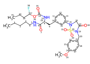 CCCCCNC(=O)[C@H](Cc1cccc(N2CC(=O)N(Cc3ccc(OC)cc3)S2(=O)=O)c1)NC(=O)OC(F)CCC